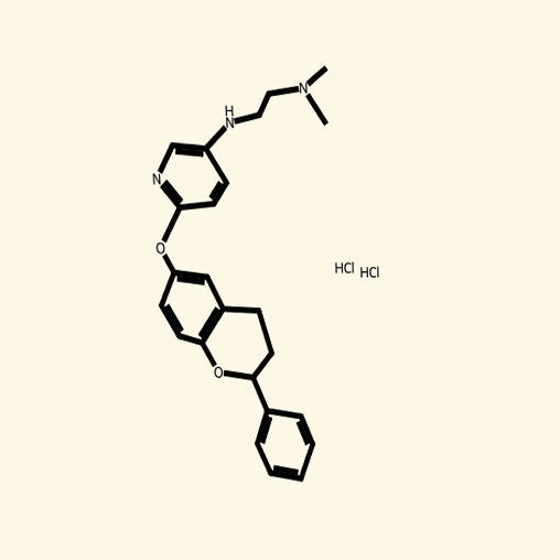 CN(C)CCNc1ccc(Oc2ccc3c(c2)CCC(c2ccccc2)O3)nc1.Cl.Cl